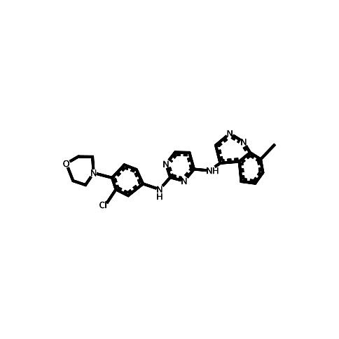 Cc1cccc2c(Nc3ccnc(Nc4ccc(N5CCOCC5)c(Cl)c4)n3)cnnc12